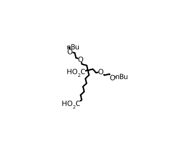 CCCCOCCOCCC(CCCCCCCC(=O)O)(CCOCCOCCCC)C(=O)O